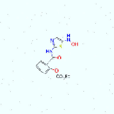 CCOC(=O)Oc1ccccc1C(=O)Nc1ncc(NO)s1